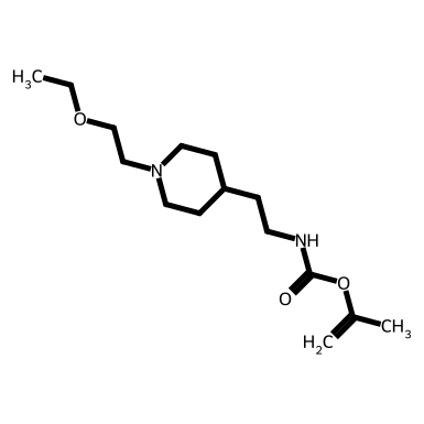 C=C(C)OC(=O)NCCC1CCN(CCOCC)CC1